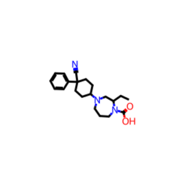 CCC1CN(C2CCC(C#N)(c3ccccc3)CC2)CCCN1C(=O)O